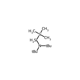 CC(C)(C)N([SiH2][Si](C)(C)C)C(C)(C)C